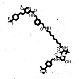 COc1cnc(C(=O)NCc2cccc(CC(=O)NCCCCCCCCC(=O)NC(C(=O)N3CC(O)CC3C(=O)NCc3ccc(-c4scnc4C)cc3)C(C)(C)C)c2)cc1C=CC1CCC(C(F)(F)F)CC1